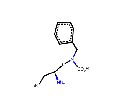 CC(C)C[C@H](N)CN(Cc1ccccc1)C(=O)O